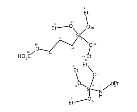 CCCN[Si](OCC)(OCC)OCC.CCO[Si](CCCOC(=O)O)(OCC)OCC